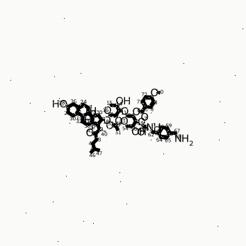 COc1ccc(C(=O)OC2C(OC3C(O)COC(O[C@H]4C[C@H]5[C@@H]6CC=C7C[C@@H](O)CC[C@]7(C)C6CC[C@]5(C)C4[C@H](C)C(=O)CCC(C)C)C3OC(C)=O)OCC(O)C2OC(=O)NCc2ccc(CN)cc2)cc1